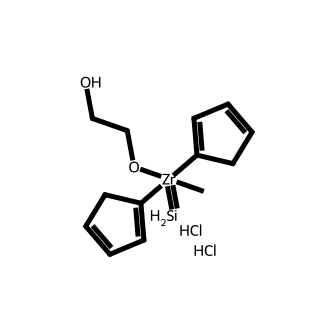 Cl.Cl.[CH3][Zr](=[SiH2])([O]CCO)([C]1=CC=CC1)[C]1=CC=CC1